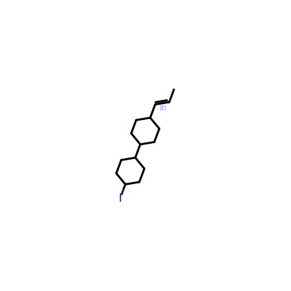 C/C=C/C1CCC(C2CCC(I)CC2)CC1